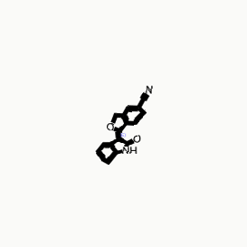 N#Cc1ccc2c(c1)CO/C2=C1/C(=O)Nc2ccccc21